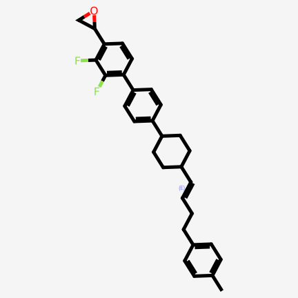 Cc1ccc(CC/C=C/C2CCC(c3ccc(-c4ccc(C5CO5)c(F)c4F)cc3)CC2)cc1